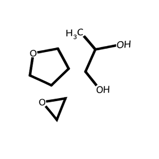 C1CCOC1.C1CO1.CC(O)CO